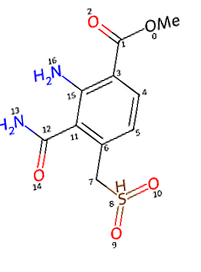 COC(=O)c1ccc(C[SH](=O)=O)c(C(N)=O)c1N